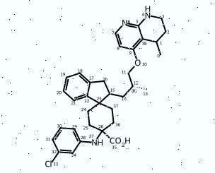 CC1CCNc2nccc(OC[C@H](C)CC3Cc4ccccc4C34CCC(Nc3cccc(Cl)c3)(C(=O)O)CC4)c21